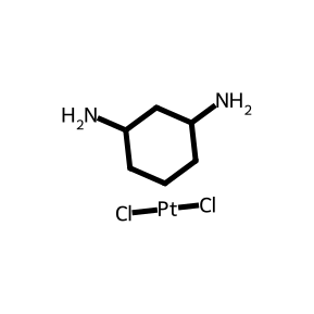 NC1CCCC(N)C1.[Cl][Pt][Cl]